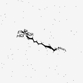 CCCCCCCCCCCCCCCCCCP(O)(O)(CC)CC